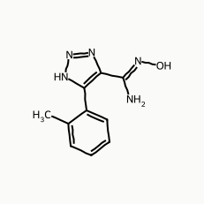 Cc1ccccc1-c1[nH]nnc1C(N)=NO